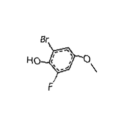 COc1cc(F)c(O)c(Br)c1